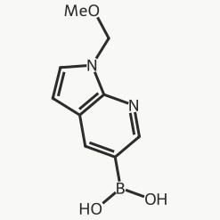 COCn1ccc2cc(B(O)O)cnc21